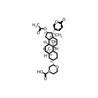 CC(=O)O[C@H]1C[C@]2(O)[C@@H]3CC[C@@H]4C[C@@H](C5CN(C(=O)O)CCO5)CC[C@]4(C)[C@H]3CC[C@]2(C)[C@H]1c1ccc(=O)oc1